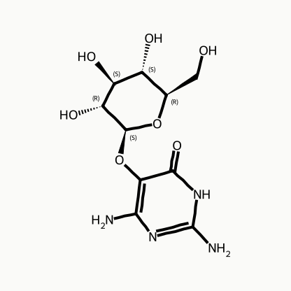 Nc1nc(N)c(O[C@@H]2O[C@H](CO)[C@@H](O)[C@H](O)[C@H]2O)c(=O)[nH]1